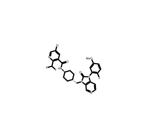 COc1ccc(F)c(-n2c(=O)n(C[C@H]3CC[C@H](NC(=O)c4cc(Cl)cnc4C(F)F)CC3)c3cnccc32)c1